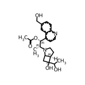 CC(=O)O[C@H](c1ccnc2ccc(CO)cc12)[C@@H](C)N1CC[C@@H]2C1C[C@@]2(O)C(C)O